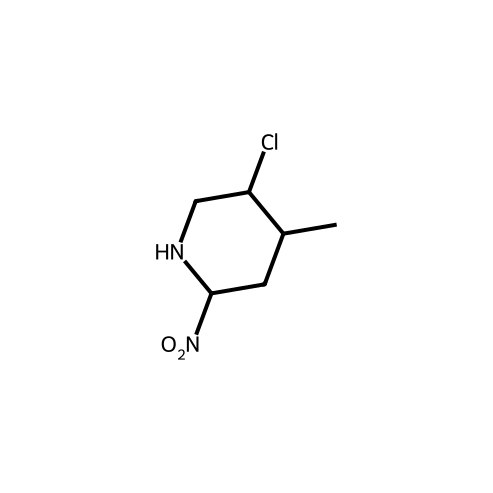 CC1CC([N+](=O)[O-])NCC1Cl